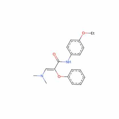 CCOc1ccc(NC(=O)/C(=C/N(C)C)Oc2ccccc2)cc1